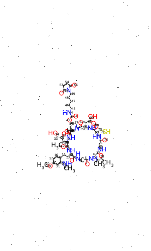 CC[C@H](C)C1NC(=O)CNC(=O)[C@H](CCc2ccc(OC)cc2NC)NC(=O)[C@@H]([C@@H](C)[C@@H](O)CO)NC(=O)[C@@H]2C[C@@H](OC(=O)NCCCCCN3C(=O)C=CC3=O)CN2C(=O)[C@H](CC(=O)O)NC(=O)[C@H](CS)NC(=O)CNC1=O